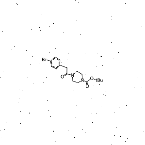 CC(C)(C)OC(=O)N1CCN(C(=O)Cc2ccc(Br)cc2)CC1